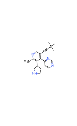 CNc1ncc(C#C[Si](C)(C)C)c(-c2ccncn2)c1C1CCNC1